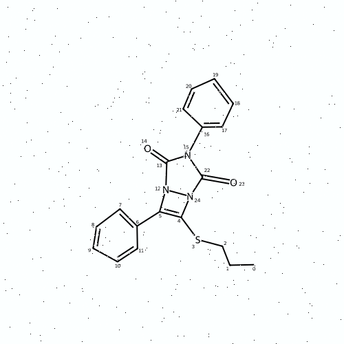 CCCSc1c(-c2ccccc2)n2c(=O)n(-c3ccccc3)c(=O)n12